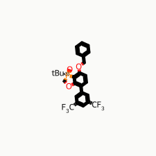 CC(C)(C)[P@@]1(=O)COc2c(-c3cc(C(F)(F)F)cc(C(F)(F)F)c3)ccc(OCc3ccccc3)c21